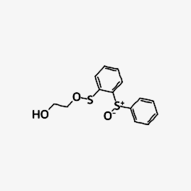 [O-][S+](c1ccccc1)c1ccccc1SOCCO